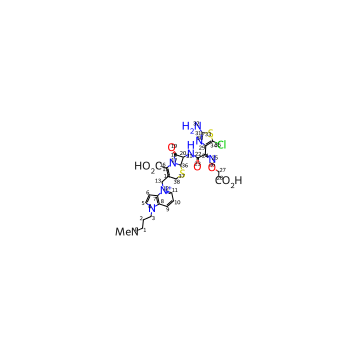 CNCCCn1ccc2c1ccc[n+]2CC1=C(C(=O)O)N2C(=O)C(NC(=O)/C(=N\OCC(=O)O)c3nc(N)sc3Cl)C2SC1